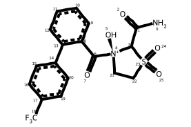 NC(=O)C1[N@@+](O)(C(=O)c2ccccc2-c2ccc(C(F)(F)F)cc2)CCS1(=O)=O